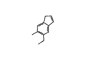 CCc1cc2c(cc1C)CC=C2